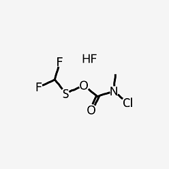 CN(Cl)C(=O)OSC(F)F.F